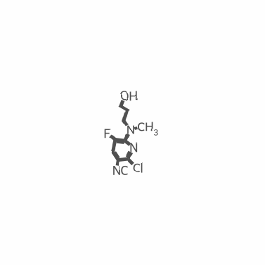 [C-]#[N+]c1cc(F)c(N(C)CCCO)nc1Cl